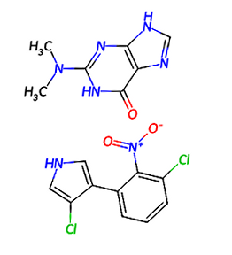 CN(C)c1nc2[nH]cnc2c(=O)[nH]1.O=[N+]([O-])c1c(Cl)cccc1-c1c[nH]cc1Cl